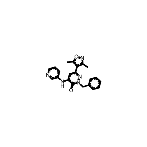 Cc1noc(C)c1-c1cc(Nc2cccnc2)c(=O)n(Cc2ccccc2)n1